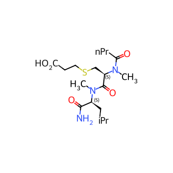 CCCC(=O)N(C)[C@H](CSCCC(=O)O)C(=O)N(C)[C@@H](CC(C)C)C(N)=O